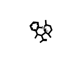 C=C(C)C1C(C)c2ccccc2N2C1C1(C)CCCC2(C)CC1